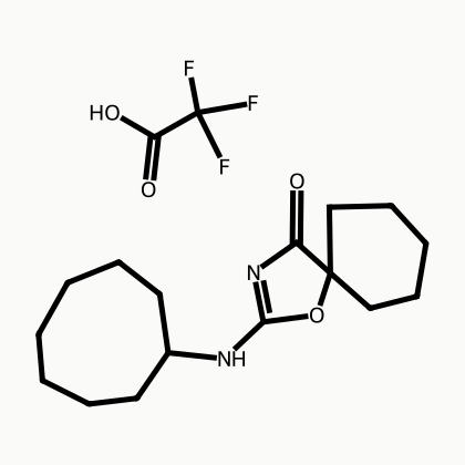 O=C(O)C(F)(F)F.O=C1N=C(NC2CCCCCCC2)OC12CCCCC2